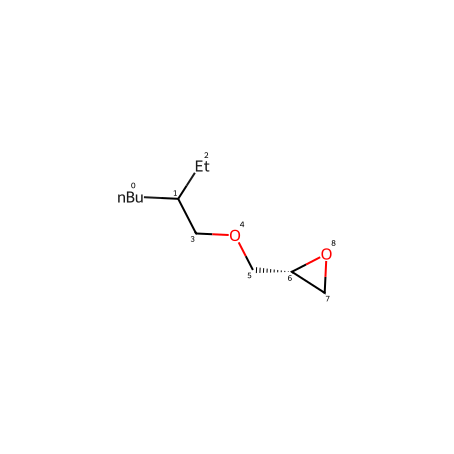 CCCCC(CC)COC[C@H]1CO1